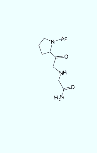 CC(=O)N1CCCC1C(=O)CNCC(N)=O